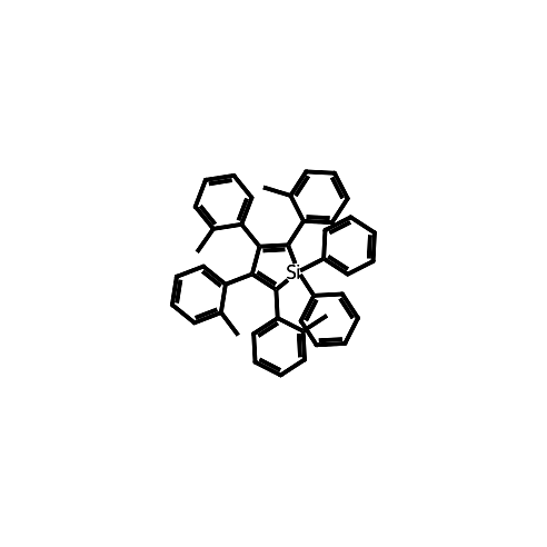 Cc1ccccc1C1=C(c2ccccc2C)[Si](c2ccccc2)(c2ccccc2)C(c2ccccc2C)=C1c1ccccc1C